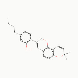 CCCCc1ccc(C2=Cc3ccc4c(c3OC2)C=CC(C)(C)O4)c(O)c1